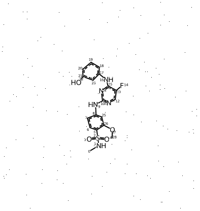 CNS(=O)(=O)c1ccc(Nc2ncc(F)c(Nc3cccc(O)c3)n2)cc1OC